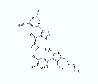 COCCn1nc(C)c(-c2cc(OC3CN(C(=O)N4N=CC[C@H]4c4cc(F)cc(C#N)c4)C3)c(F)cn2)c1C